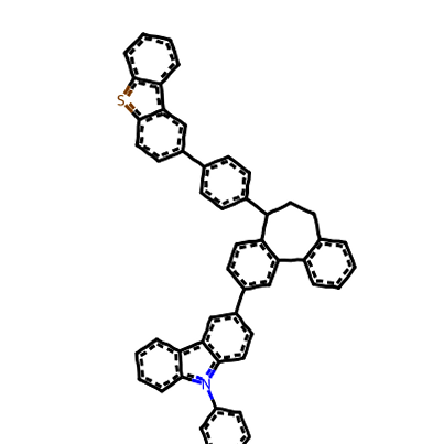 c1ccc(-n2c3ccccc3c3cc(-c4ccc5c(c4)-c4ccccc4CCC5c4ccc(-c5ccc6sc7ccccc7c6c5)cc4)ccc32)cc1